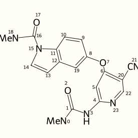 CNC(=O)Nc1cc(Oc2ccc3c(ccn3C(=O)NC)c2)c(C#N)cn1